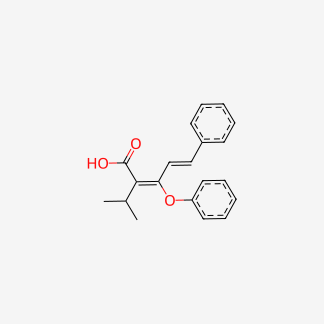 CC(C)C(C(=O)O)=C(C=Cc1ccccc1)Oc1ccccc1